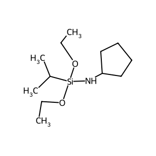 CCO[Si](NC1CCCC1)(OCC)C(C)C